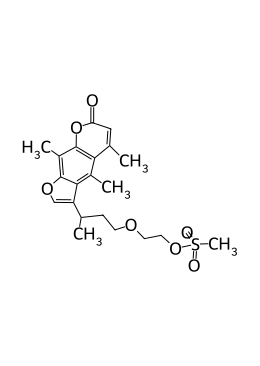 Cc1c2oc(=O)cc(C)c2c(C)c2c(C(C)CCOCCOS(C)(=O)=O)coc12